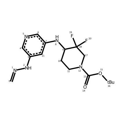 C=NNc1cncc(NC2CCN(C(=O)OC(C)(C)C)CC2(F)F)c1